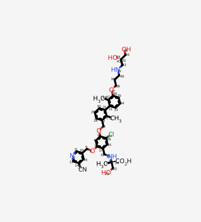 Cc1c(COc2cc(OCc3cncc(C#N)c3)c(CN[C@@](C)(CO)C(=O)O)cc2Cl)cccc1-c1cccc(OCCCNC[C@H](O)CO)c1C